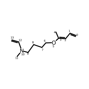 C=C/C=C(\C)OCCCCN(C)C=C